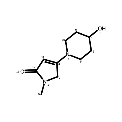 CN1CC(N2CCC(O)CC2)=CC1=O